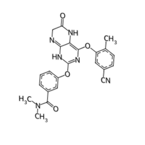 Cc1ccc(C#N)cc1OC1=C2NC(=O)CN=C2NC(Oc2cccc(C(=O)N(C)C)c2)=N1